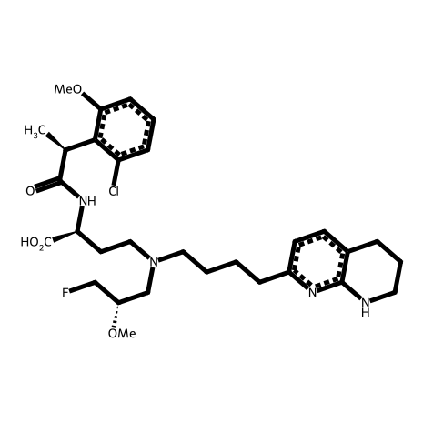 COc1cccc(Cl)c1[C@H](C)C(=O)N[C@@H](CCN(CCCCc1ccc2c(n1)NCCC2)C[C@@H](CF)OC)C(=O)O